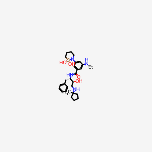 CCNc1cc(C(=O)N[C@@H](Cc2ccccc2)[C@@H](O)CNC2(C)CCCC2)cc(N2CCCCS2(O)O)c1